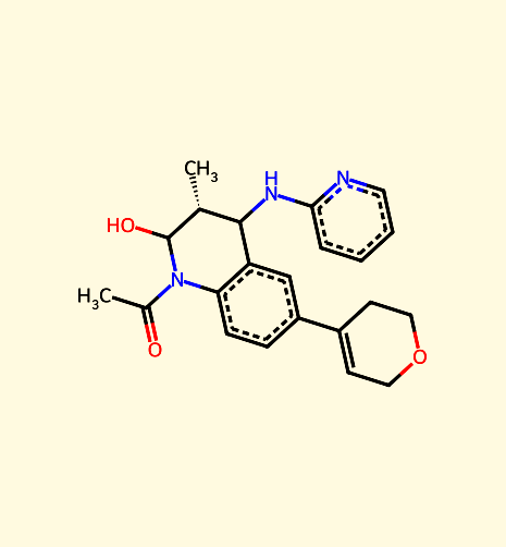 CC(=O)N1c2ccc(C3=CCOCC3)cc2C(Nc2ccccn2)[C@@H](C)C1O